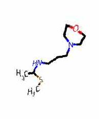 CSC(C)NCCCN1CCOCC1